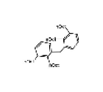 CCCCCCCCc1cccc(Cc2cccc(CCCCCCCC)c2CCCCCCCC)c1CCCCCCCC